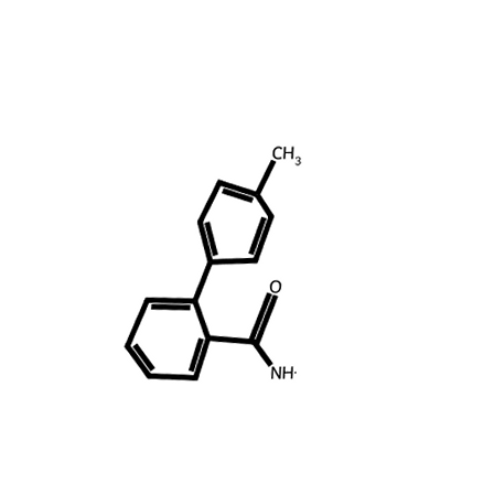 Cc1ccc(-c2ccccc2C([NH])=O)cc1